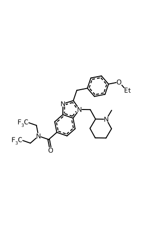 CCOc1ccc(Cc2nc3cc(C(=O)N(CC(F)(F)F)CC(F)(F)F)ccc3n2CC2CCCCN2C)cc1